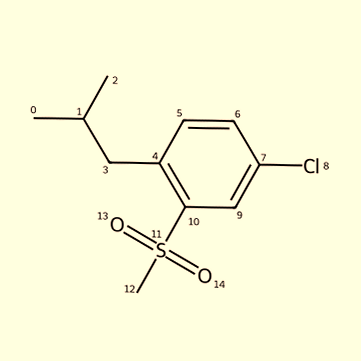 CC(C)Cc1ccc(Cl)cc1S(C)(=O)=O